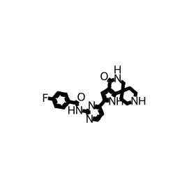 O=C(Nc1nccc(-c2cc3c([nH]2)C2(CCNCC2)CNC3=O)n1)c1ccc(F)cc1